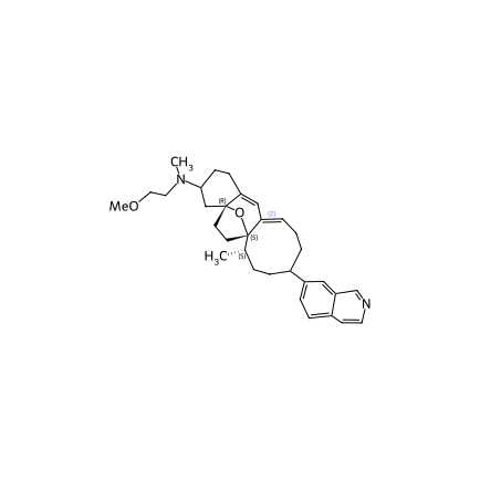 COCCN(C)C1CCC2=C/C3=C/CCC(c4ccc5ccncc5c4)CC[C@H](C)[C@@]34CC[C@]2(C1)O4